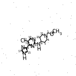 COCN1CCC(Nc2ncc(Cl)c(-c3c[nH]cn3)n2)CC1